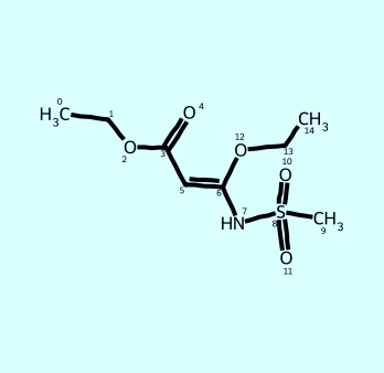 CCOC(=O)C=C(NS(C)(=O)=O)OCC